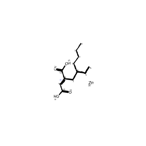 CCCCC(CC)C/C(=C\C(=O)O)C(=O)O.[Zn]